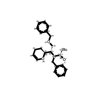 CC(C)(C)[S@+]([O-])N(Cc1ccccc1)[C@@H](COCc1ccccc1)[C@@H]1CCC=CO1